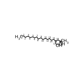 CCCCCCCCCCCCCCCCC(CO)CC(C)O